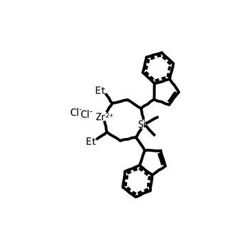 CC[CH]1CC(C2C=Cc3ccccc32)[Si](C)(C)C(C2C=Cc3ccccc32)C[CH](CC)[Zr+2]1.[Cl-].[Cl-]